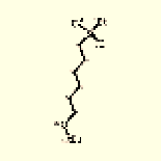 CC[Si](Cl)(Cl)CCCCCCOC(C)(C)C